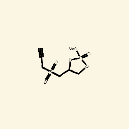 C#CCS(=O)(=O)CC1COP(=O)(OC)O1